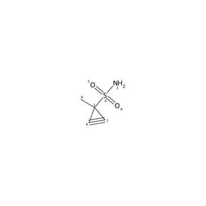 CC1(S(N)(=O)=O)C#C1